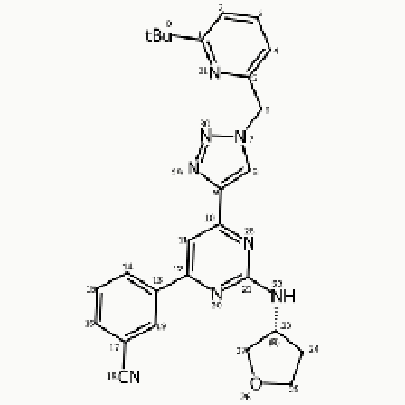 CC(C)(C)c1cccc(Cn2cc(-c3cc(-c4cccc(C#N)c4)nc(N[C@@H]4CCOC4)n3)nn2)n1